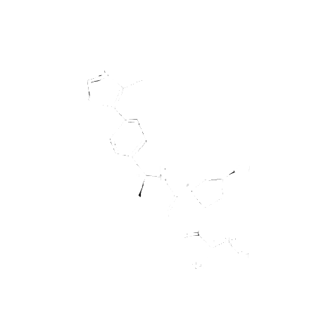 Cc1ncsc1-c1ccc([C@H](C)NC(=O)[C@@H]2C[C@@H](O)CC2C(=O)[C@H](NC(C)C)C(C)(C)C)cc1